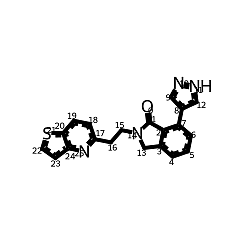 O=C1c2c(cccc2-c2cn[nH]c2)CN1CCc1ccc2sccc2n1